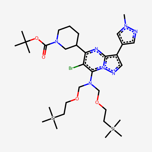 Cn1cc(-c2cnn3c(N(COCC[Si](C)(C)C)COCC[Si](C)(C)C)c(Br)c(C4CCCN(C(=O)OC(C)(C)C)C4)nc23)cn1